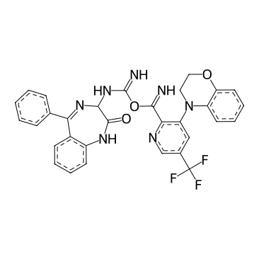 N=C(NC1N=C(c2ccccc2)c2ccccc2NC1=O)OC(=N)c1ncc(C(F)(F)F)cc1N1CCOc2ccccc21